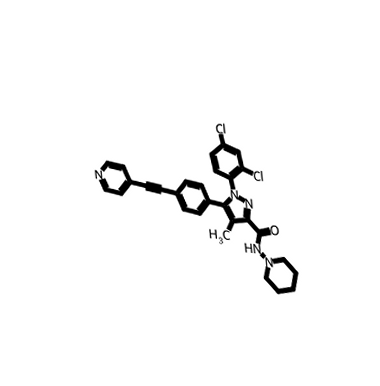 Cc1c(C(=O)NN2CCCCC2)nn(-c2ccc(Cl)cc2Cl)c1-c1ccc(C#Cc2ccncc2)cc1